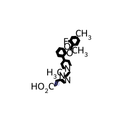 Cc1ccc(C2(C)Oc3cccc(C4CCN(Cc5ncc(/C=C/C(=O)O)n5C)CC4)c3O2)c(F)c1